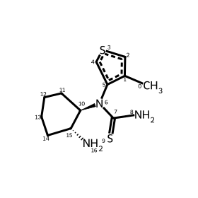 Cc1cscc1N(C(N)=S)[C@@H]1CCCC[C@H]1N